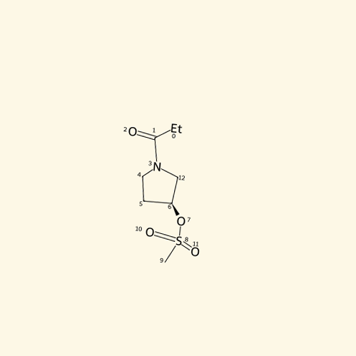 CCC(=O)N1CC[C@H](OS(C)(=O)=O)C1